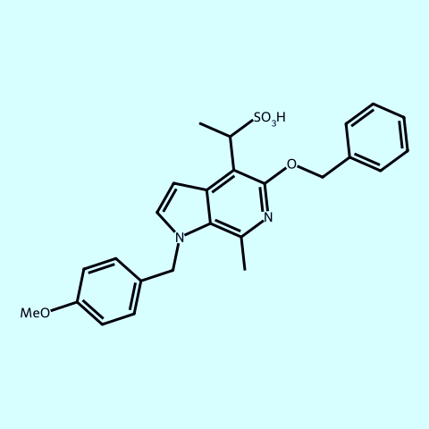 COc1ccc(Cn2ccc3c(C(C)S(=O)(=O)O)c(OCc4ccccc4)nc(C)c32)cc1